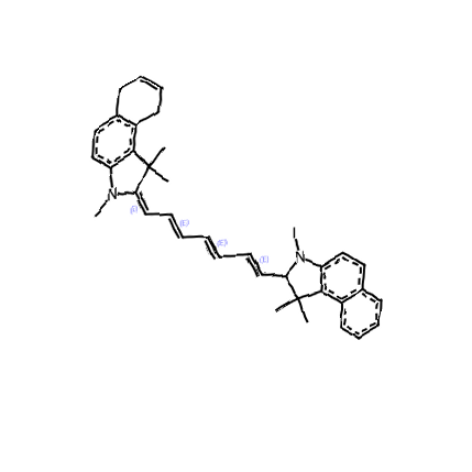 CN1/C(=C/C=C/C=C/C=C/C2N(I)c3ccc4ccccc4c3C2(C)C)C(C)(C)c2c1ccc1c2CC=CC1